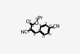 CC(C)OC(=O)C(C#N)=Cc1ccc(C#N)cc1